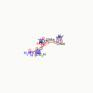 C=C1C[C@H]2C=Nc3cc(OCCCCCOc4cc5c(cc4OC)C(=O)N4CC(=C)C[C@H]4[C@H](O)N5C(=O)OCc4ccc(NC(=O)[C@H](CCCNC(N)=O)NC(=O)C5(C(=O)O)CCC5)cc4)c(OC)cc3C(=O)N2C1